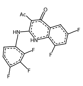 CC(=O)c1c(Nc2ccc(F)c(F)c2F)[nH]c2c(F)cc(F)cc2c1=O